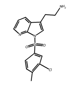 Cc1ccc(S(=O)(=O)n2cc(CCN)c3cccnc32)cc1Cl